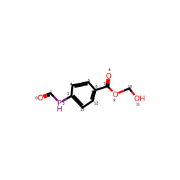 O=CPc1ccc(C(=O)OCO)cc1